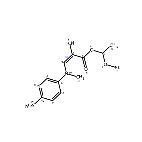 CCOC(C)OC(=O)/C(C#N)=C\N(C)c1ccc(SC)nc1